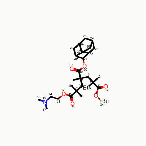 CCC(C)(CC(C)(CC(C)(C)C(=O)OCCN(C)C)C(=O)OC1C2CC3CC(C2)CC1C3)C(=O)OC(C)(C)C